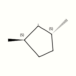 C[C@H]1[CH][C@H](C)CC1